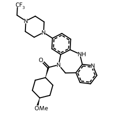 CO[C@H]1CC[C@@H](C(=O)N2Cc3cccnc3Nc3ccc(N4CCN(CC(F)(F)F)CC4)cc32)CC1